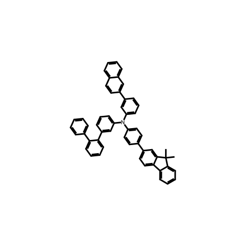 CC1(C)c2ccccc2-c2ccc(-c3ccc(N(c4cccc(-c5ccc6ccccc6c5)c4)c4cccc(-c5ccccc5-c5ccccc5)c4)cc3)cc21